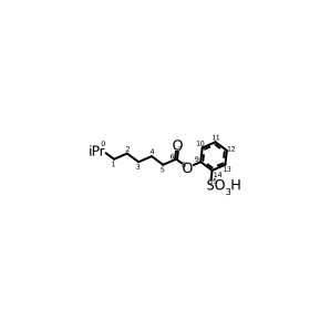 CC(C)CCCCCC(=O)Oc1ccccc1S(=O)(=O)O